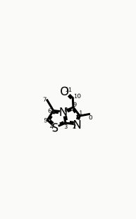 Cc1nc2scc(C)n2c1C=O